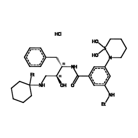 CCNc1cc(C(=O)N[C@@H](Cc2ccccc2)[C@@H](O)CNC2(CC)CCCCC2)cc(N2CCCCS2(O)O)c1.Cl